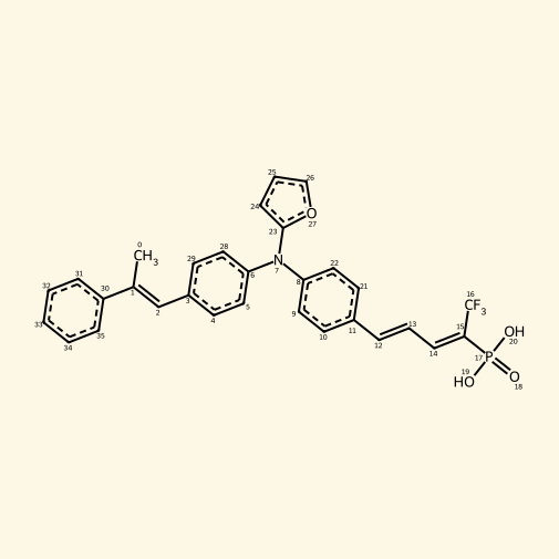 C/C(=C\c1ccc(N(c2ccc(/C=C/C=C(\C(F)(F)F)P(=O)(O)O)cc2)c2ccco2)cc1)c1ccccc1